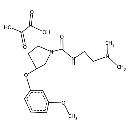 COc1cccc(OC2CCN(C(=O)NCCN(C)C)C2)c1.O=C(O)C(=O)O